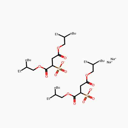 CCCCC(CC)COC(=O)CC(C(=O)OCC(CC)CCCC)S(=O)(=O)[O-].CCCCC(CC)COC(=O)CC(C(=O)OCC(CC)CCCC)S(=O)(=O)[O-].[Na+].[Na+]